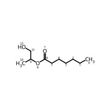 CCCCCCC(=O)OC(C)CO